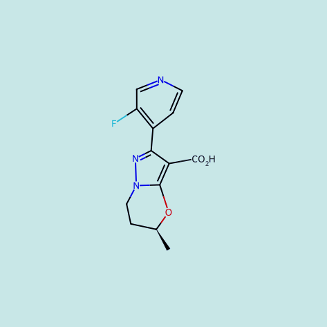 C[C@H]1CCn2nc(-c3ccncc3F)c(C(=O)O)c2O1